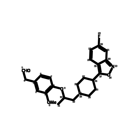 COc1cc(CC=O)ccc1OC(C)CN1CCC(c2onc3cc(F)ccc23)CC1